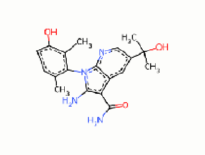 Cc1ccc(O)c(C)c1-n1c(N)c(C(N)=O)c2cc(C(C)(C)O)cnc21